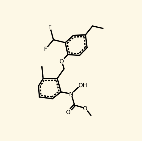 CCc1ccc(OCc2c(C)cccc2N(O)C(=O)OC)c(C(F)F)c1